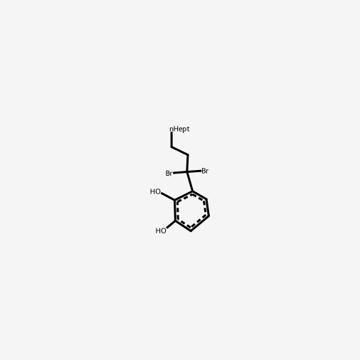 CCCCCCCCCC(Br)(Br)c1cccc(O)c1O